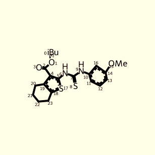 CC[C@@H](C)OC(=O)c1c(NC(=S)Nc2cccc(OC)c2)sc2c1CCCC2